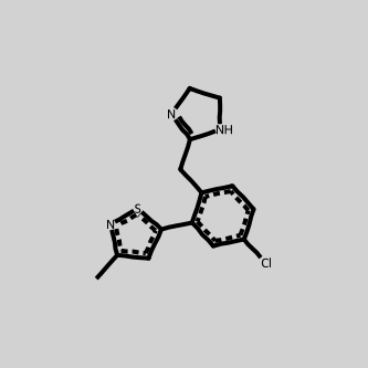 Cc1cc(-c2cc(Cl)ccc2CC2=NCCN2)sn1